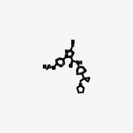 COc1ccc(-n2nc(C#N)cc2C(=O)Nc2ccc(C3(CN4CCCC4)CC3)cc2)cc1